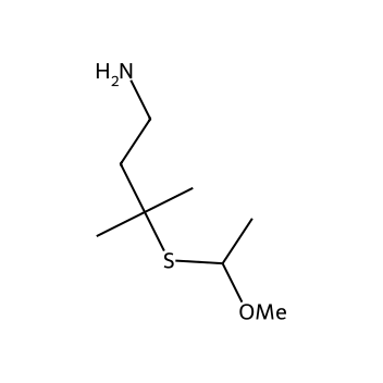 COC(C)SC(C)(C)CCN